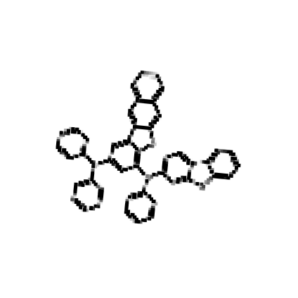 c1ccc(N(c2ccccc2)c2cc(N(c3ccccc3)c3ccc4c(c3)oc3ccccc34)c3sc4cc5ccccc5cc4c3c2)cc1